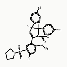 CC(C)Oc1cc(Cl)c(S(=O)(=O)N2CCCC2)cc1C1=N[C@@](C)(c2ccc(Cl)cc2)[C@@](C)(c2ccc(Cl)cc2)N1C(=O)Cl